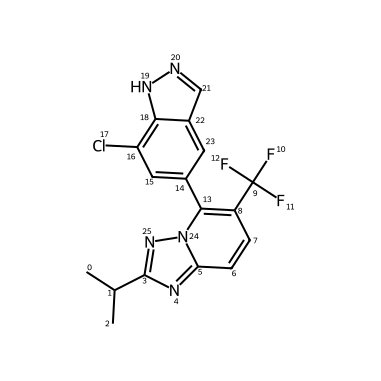 CC(C)c1nc2ccc(C(F)(F)F)c(-c3cc(Cl)c4[nH]ncc4c3)n2n1